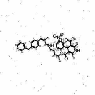 CC(=Cc1ccc(Cc2cccnc2)cc1)CNCCCC(C)OC(=O)C1=C(C)NC(C)=C(C(=O)O)C1c1cccc([N+](=O)[O-])c1